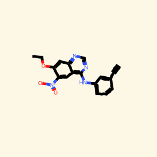 C#Cc1cccc(Nc2ncnc3cc(OCC)c([N+](=O)[O-])cc23)c1